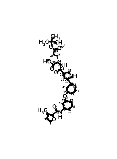 Cc1ccoc1C(=O)Nc1cccc(Oc2ccnc(-c3cc(C(=O)N[C@@H](CCC(=O)OC(C)(C)C)C(=O)O)c[nH]3)c2)c1